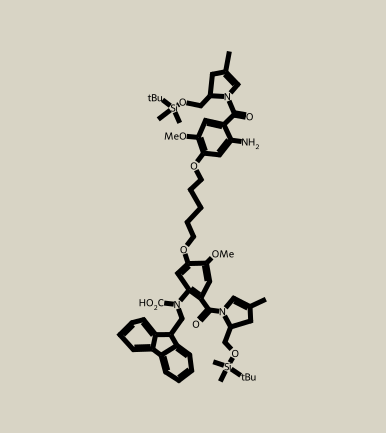 COc1cc(C(=O)N2C=C(C)CC2CO[Si](C)(C)C(C)(C)C)c(N)cc1OCCCCCOc1cc(N(CC2c3ccccc3-c3ccccc32)C(=O)O)c(C(=O)N2C=C(C)CC2CO[Si](C)(C)C(C)(C)C)cc1OC